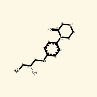 NC[C@@H](O)CNc1ccc(N2CCOCC2=O)cc1